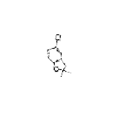 CC1(C)Cc2cc(Cl)c[c]c2O1